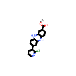 CC(C)OC(=O)c1ccc(Nc2cccc(-c3cccnc3Cl)c2)c(N)c1